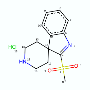 CS(=O)(=O)C1=Nc2ccccc2C12CCNCC2.Cl